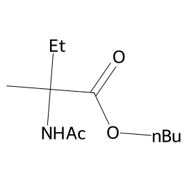 CCCCOC(=O)C(C)(CC)NC(C)=O